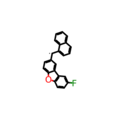 Fc1ccc2oc3ccc([CH]c4cccc5ccccc45)cc3c2c1